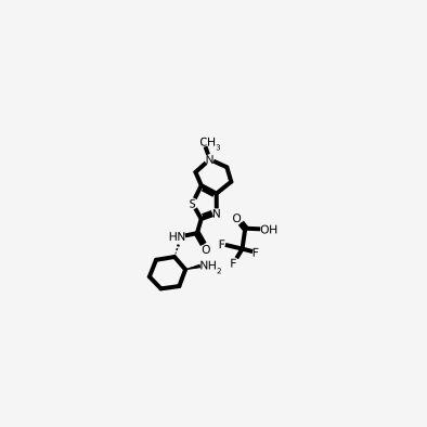 CN1CCc2nc(C(=O)N[C@H]3CCCC[C@@H]3N)sc2C1.O=C(O)C(F)(F)F